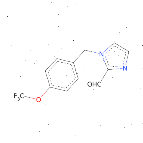 O=Cc1nc[c]n1Cc1ccc(OC(F)(F)F)cc1